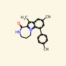 Cc1c2n(c3c(-c4ccc(C#N)cc4)cc(C#N)cc13)CCCNC2=O